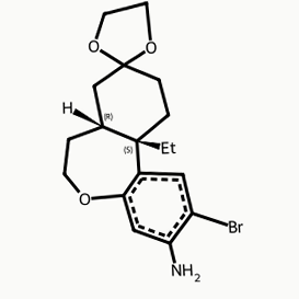 CC[C@]12CCC3(C[C@H]1CCOc1cc(N)c(Br)cc12)OCCO3